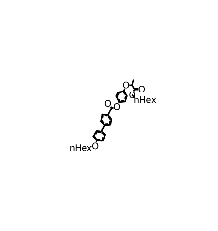 CCCCCCOC(=O)C(C)Oc1ccc(OC(=O)c2ccc(-c3ccc(OCCCCCC)cc3)cc2)cc1